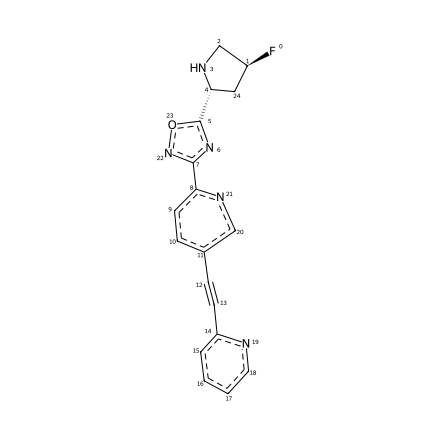 F[C@@H]1CN[C@@H](c2nc(-c3ccc(C#Cc4ccccn4)cn3)no2)C1